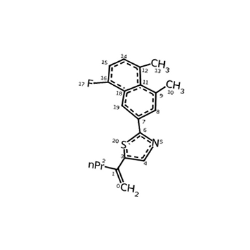 C=C(CCC)c1cnc(-c2cc(C)c3c(C)ccc(F)c3c2)s1